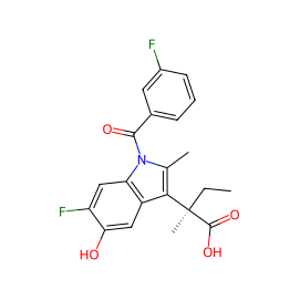 CC[C@@](C)(C(=O)O)c1c(C)n(C(=O)c2cccc(F)c2)c2cc(F)c(O)cc12